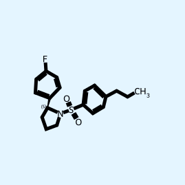 CCCc1ccc(S(=O)(=O)N2CCC[C@H]2c2ccc(F)cc2)cc1